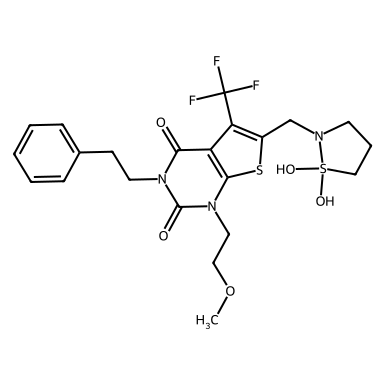 COCCn1c(=O)n(CCc2ccccc2)c(=O)c2c(C(F)(F)F)c(CN3CCCS3(O)O)sc21